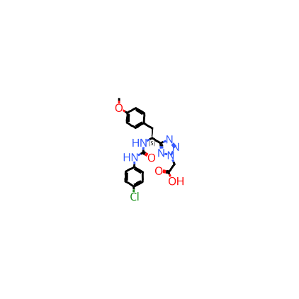 COc1ccc(C[C@H](NC(=O)Nc2ccc(Cl)cc2)c2nnn(CC(=O)O)n2)cc1